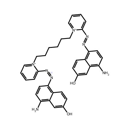 Nc1ccc(N=Nc2cccc[n+]2CCCCCC[n+]2ccccc2/N=N\c2ccc(N)c3cc(O)ccc23)c2ccc(O)cc12